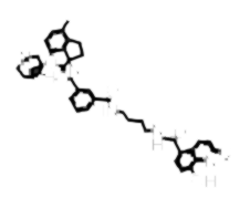 Cc1cccc2c1CCC2(NCc1cccc(C(=O)NCCCCNC[C@H](O)c2ccc(O)c3[nH]c(=O)ccc23)c1)C(=O)O[C@H]1CN2CCC1CC2